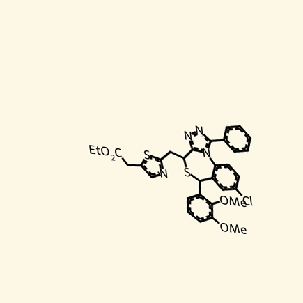 CCOC(=O)Cc1cnc(CC2SC(c3cccc(OC)c3OC)c3cc(Cl)ccc3-n3c(-c4ccccc4)nnc32)s1